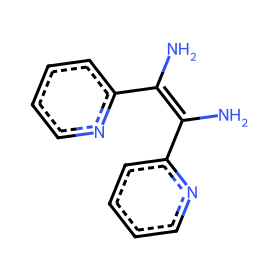 N/C(=C(\N)c1ccccn1)c1ccccn1